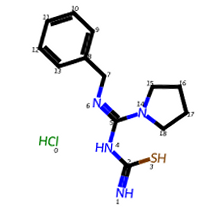 Cl.N=C(S)N/C(=N/Cc1ccccc1)N1CCCC1